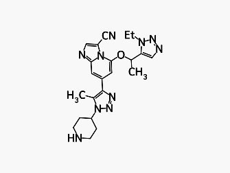 CCn1nncc1C(C)Oc1cc(-c2nnn(C3CCNCC3)c2C)cc2ncc(C#N)n12